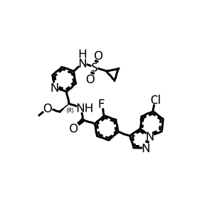 COC[C@H](NC(=O)c1ccc(-c2cnn3ccc(Cl)cc23)cc1F)c1cc(NS(=O)(=O)C2CC2)ccn1